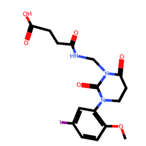 COc1ccc(I)cc1N1CCC(=O)N(CNC(=O)CCC(=O)O)C1=O